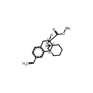 C=Cc1ccc2c(c1)[C@@]13CCCC[C@H]1[C@@H](C2)N(C(=O)OC(C)(C)C)CC3